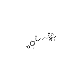 COc1ccc(NCCCCCNS(=O)(=O)C(C)C)cc1F